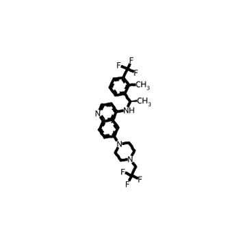 Cc1c([C@@H](C)Nc2ccnc3ccc(N4CCN(CC(F)(F)F)CC4)cc23)cccc1C(F)(F)F